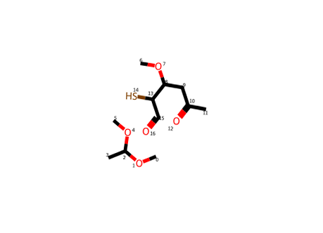 COC(C)OC.COC(CC(C)=O)C(S)C=O